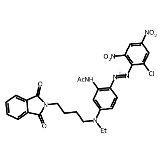 CCN(CCCCN1C(=O)c2ccccc2C1=O)c1ccc(/N=N/c2c(Cl)cc([N+](=O)[O-])cc2[N+](=O)[O-])c(NC(C)=O)c1